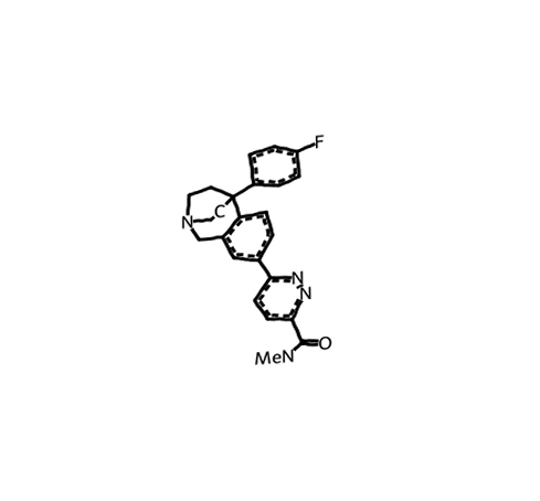 CNC(=O)c1ccc(-c2ccc3c(c2)CN2CCC3(c3ccc(F)cc3)CC2)nn1